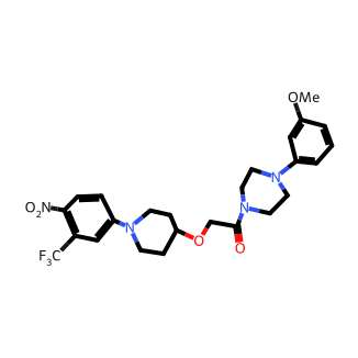 COc1cccc(N2CCN(C(=O)COC3CCN(c4ccc([N+](=O)[O-])c(C(F)(F)F)c4)CC3)CC2)c1